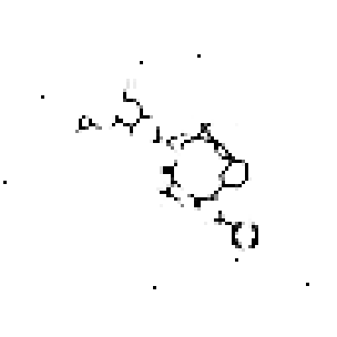 CCCC(NC(=O)[C@@H]1C[C@]23CN1C(=O)[C@H](C(C)(C)C)NC(=O)[C@@H](NC(=O)c1cnccn1)C1CCCC4(C1)CC2(C4)C3(C)C)C(O)C(=O)NC1CC1